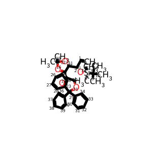 C=C[C@@H](O[Si](C)(C)C(C)(C)C)[C@@H]1OC(C)(C)O[C@@H]1C(=O)COC(c1ccccc1)(c1ccccc1)c1ccccc1